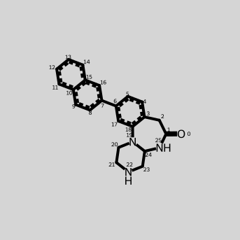 O=C1Cc2ccc(-c3ccc4ccccc4c3)cc2N2CCNCC2N1